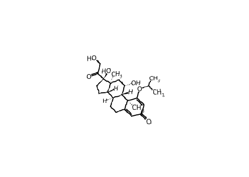 CC(C)OC1=CC(=O)C=C2CC[C@@H]3[C@H]([C@@H](O)C[C@@]4(C)[C@H]3CC[C@]4(O)C(=O)CO)[C@]21C